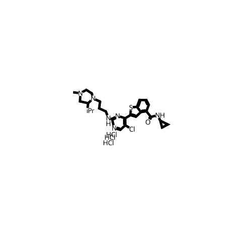 CC(C)C1CN(C)CCN1CCCNc1ncc(Cl)c(-c2cc3c(C(=O)NC4CC4)cccc3s2)n1.Cl.Cl.Cl